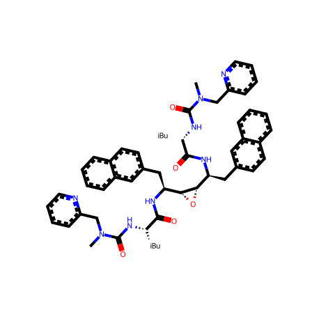 CC[C@H](C)[C@H](NC(=O)N(C)Cc1ccccn1)C(=O)N[C@@H](Cc1ccc2ccccc2c1)[C@@H]1O[C@@H]1[C@H](Cc1ccc2ccccc2c1)NC(=O)[C@@H](NC(=O)N(C)Cc1ccccn1)[C@@H](C)CC